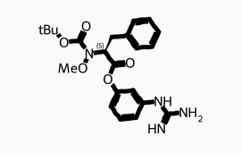 CON(C(=O)OC(C)(C)C)[C@@H](Cc1ccccc1)C(=O)Oc1cccc(NC(=N)N)c1